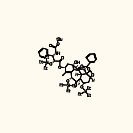 CC[Si](CC)(CC)O[C@H]1C(=O)[C@]2(C)[C@@H](O[Si](CC)(CC)CC)C[C@H]3OC[C@@]3(OC(C)=O)[C@H]2[C@@]2(OC(=O)c3ccccc3)[C@]3(O)C[C@H](OC(=O)[C@H](O[Si](CC)(CC)CC)[C@@H](NC(=O)OC(C)(C)C)c4ccccc4)C(C)=C1[C@@]32C